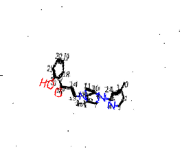 Cc1ccnc(N2C[C@H]3CC2CN3/C=C/C(=O)c2ccccc2O)c1